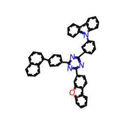 c1cc(-c2nc(-c3ccc(-c4cccc5ccccc45)cc3)nc(-c3ccc4c(c3)oc3ccccc34)n2)cc(-n2c3ccccc3c3ccccc32)c1